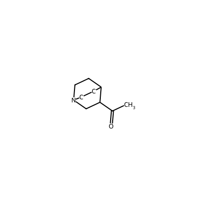 CC(=O)C1CN2CCC1CC2